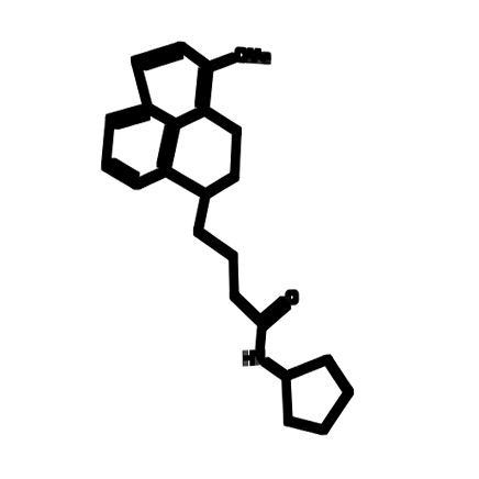 COc1ccc2cccc3c2c1CCC3CCCC(=O)NC1CCCC1